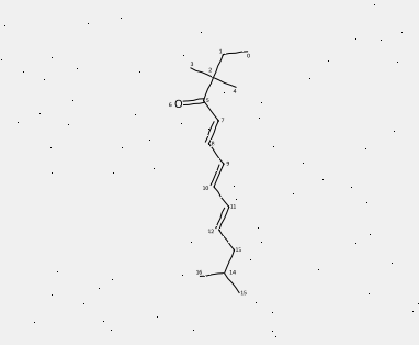 CCC(C)(C)C(=O)/C=C/C=C/C=C/CC(C)C